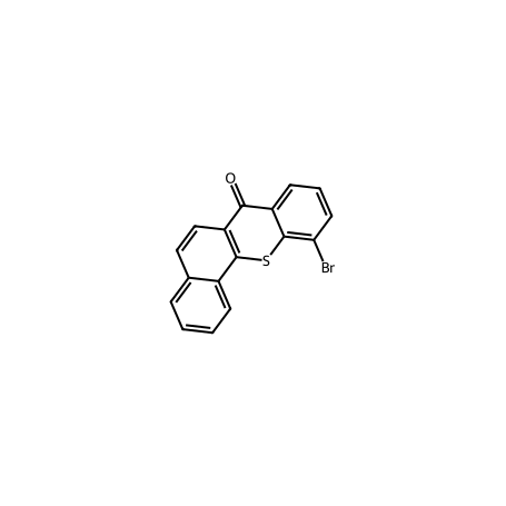 O=c1c2cccc(Br)c2sc2c1ccc1ccccc12